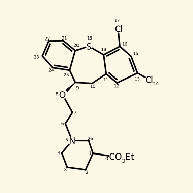 CCOC(=O)C1CCCN(CCO[C@@H]2Cc3cc(Cl)cc(Cl)c3Sc3ccccc32)C1